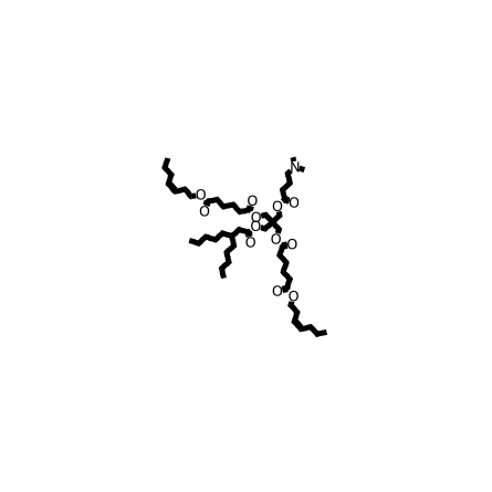 CCC/C=C\CCOC(=O)CCCCC(=O)OCC(COC(=O)CCCCC(=O)OCC/C=C\CCC)(COC(=O)CCCN(C)C)COC(=O)CC(CCCCC)CCCCC